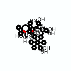 CC1(Cc2ccc(-c3c(-c4ccccc4)c(-c4ccc(O)c(O)c4)c(-c4ccccc4)c(-c4ccccc4)c3-c3ccc(O)c(O)c3)cc2)CC2(CC(C)(Cc3cccc4c3-c3ccccc3C43CCCCC4(c5ccccc5-c5ccccc54)c4cc(O)c(O)cc4-c4cc(O)c(O)cc43)c3cc(O)c(O)cc3O2)Oc2cc(O)c(O)cc21